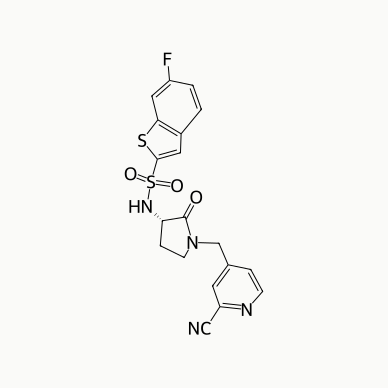 N#Cc1cc(CN2CC[C@H](NS(=O)(=O)c3cc4ccc(F)cc4s3)C2=O)ccn1